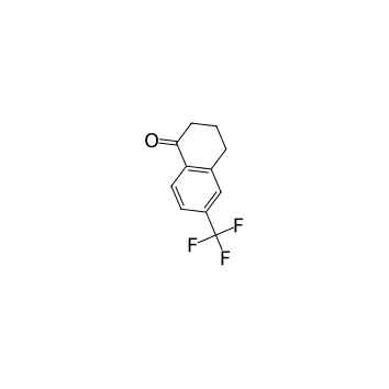 O=C1CCCc2cc(C(F)(F)F)ccc21